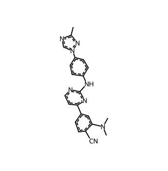 Cc1ncn(-c2ccc(Nc3nccc(-c4ccc(C#N)c(N(C)C)c4)n3)cc2)n1